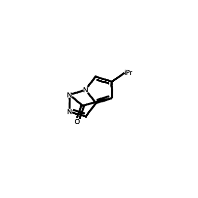 CC(C)c1cn2c3cnn2c(=O)c13